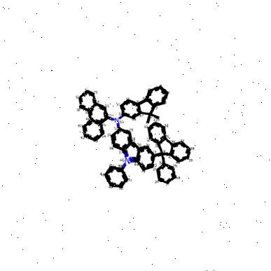 CC1(C)c2ccccc2-c2ccc(N(c3ccc4c(c3)c3cc(C5(c6ccccc6)c6ccccc6-c6ccccc65)ccc3n4-c3ccccc3)c3cc4ccccc4c4ccccc34)cc21